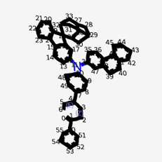 C=C(/C=C\C(=C/C)c1ccc(N(c2ccc3c(c2)C2(c4ccccc4-3)C3CC4CC(C3)CC2C4)c2ccc3c(ccc4ccccc43)c2)cc1)c1ccccc1